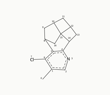 Cc1cnc2c(c1Cl)C1CC3CC4CC2C34C1